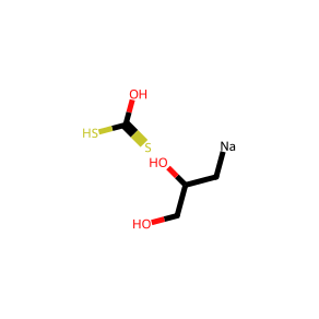 OC(=S)S.OCC(O)[CH2][Na]